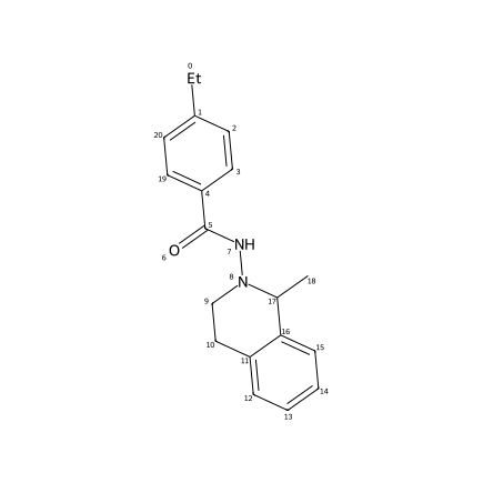 CCc1ccc(C(=O)NN2CCc3ccccc3C2C)cc1